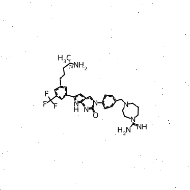 C[C@H](N)CCCc1cc(-c2cc3cn(-c4ccc(CN5CCCN(C(=N)N)CC5)cc4)c(=O)nc3[nH]2)cc(C(F)(F)F)c1